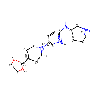 c1cc(NC2CCCNC2)ncc1N1CCC(C2OCCO2)CC1